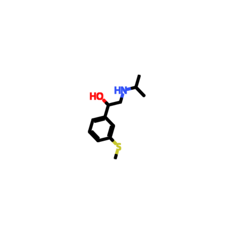 CSc1cccc(C(O)CNC(C)C)c1